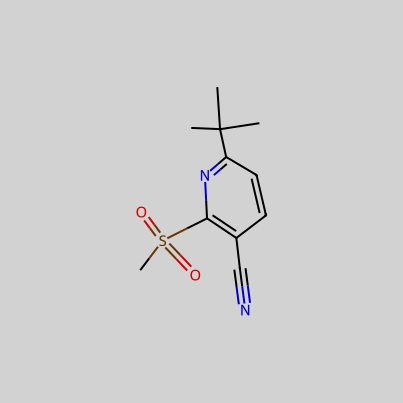 CC(C)(C)c1ccc(C#N)c(S(C)(=O)=O)n1